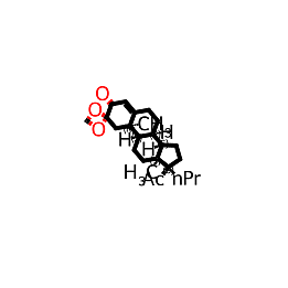 CCC[C@]1(C(C)=O)CC[C@H]2[C@@H]3CCC4=CC(=O)C5(C[C@]4(C)[C@H]3CC[C@@]21C)OCO5